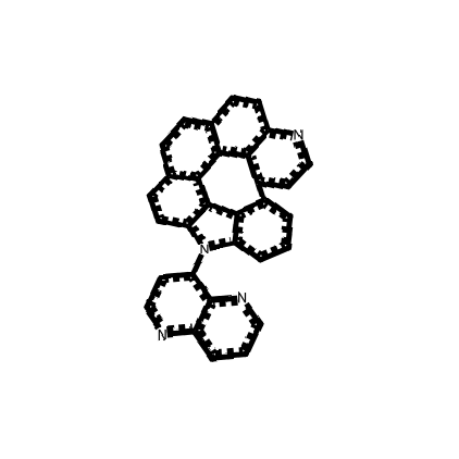 c1cnc2c(-n3c4cccc5c4c4c6c(ccc7ccc8nccc-5c8c76)ccc43)ccnc2c1